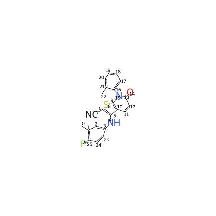 Cc1cc(Nc2c(C#N)sc3c2ccc(=O)n3-c2ccccc2C)ccc1F